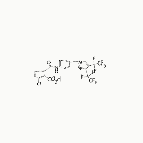 O=C(Nc1ccc(Cn2cc(C(F)(F)C(F)(F)F)c(C(F)(F)C(F)(F)F)n2)cc1)c1cccc(Cl)c1C(=O)O